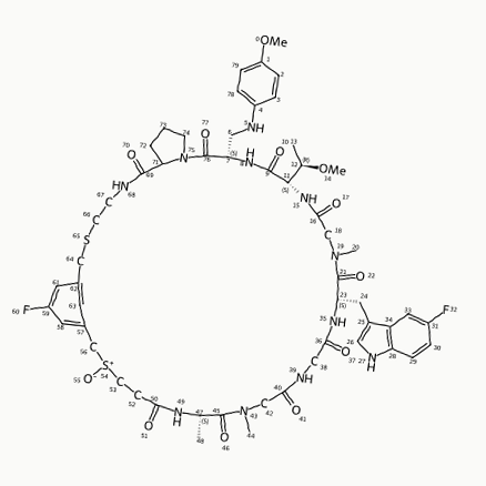 COc1ccc(NC[C@@H]2NC(=O)[C@H]([C@@H](C)OC)NC(=O)CN(C)C(=O)[C@H](Cc3c[nH]c4ccc(F)cc34)NC(=O)CNC(=O)CN(C)C(=O)[C@H](C)NC(=O)CC[S+]([O-])Cc3cc(F)cc(c3)CSCCNC(=O)C3CCCN3C2=O)cc1